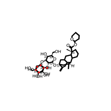 C=C1CC2C3CC4C(CCC[C@@]4(C)C(=O)OC4CCCCO4)C2[C@@H](C)C[C@]1(O[C@@H]1O[C@H](CO)[C@@H](O)[C@H](O[C@@H]2O[C@H](CO)[C@@H](O)[C@H](O)[C@H]2O)[C@H]1O[C@@H]1OC[C@@H](O)[C@H](O)[C@H]1O)C3